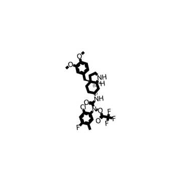 COc1ccc(C[C@@]23CCN[C@H]2C[C@H](NC(=O)N(OC(=O)C(F)(F)F)c2cc(C)c(F)cc2Cl)CC3)cc1OC